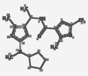 CC(NC(=O)c1cc(C(F)(F)F)nn1C)c1cc(N(C)C2CCCC2)nn1C